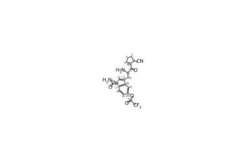 N#CC1CCCN1C(=O)C(N)Cc1cn(C(N)=O)c2ccc(OC(=O)C(F)(F)F)cc12